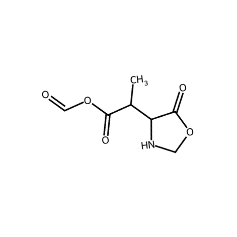 CC(C(=O)OC=O)C1NCOC1=O